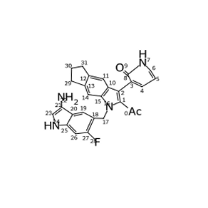 CC(=O)c1c(-c2ccc[nH]c2=O)c2cc3c(cc2n1Cc1cc2c(N)c[nH]c2cc1F)CCC3